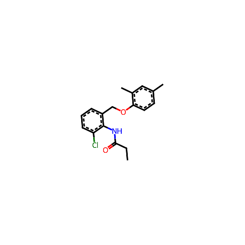 CCC(=O)Nc1c(Cl)cccc1COc1ccc(C)cc1C